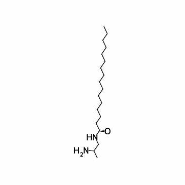 CCCCCCCCCCCCCCCC(=O)NCC(C)N